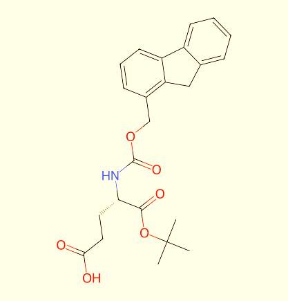 CC(C)(C)OC(=O)[C@H](CCC(=O)O)NC(=O)OCc1cccc2c1Cc1ccccc1-2